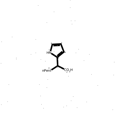 CCCCCC(C(=O)O)c1ccc[nH]1